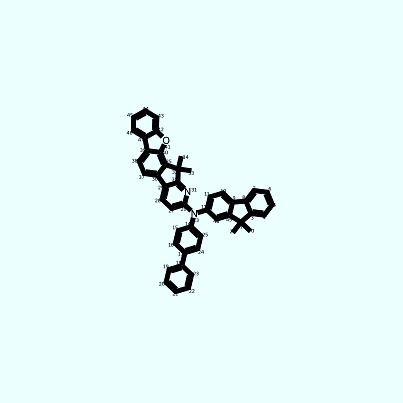 CC1(C)c2ccccc2-c2ccc(N(c3ccc(-c4ccccc4)cc3)c3ccc4c(n3)C(C)(C)c3c-4ccc4c3oc3ccccc34)cc21